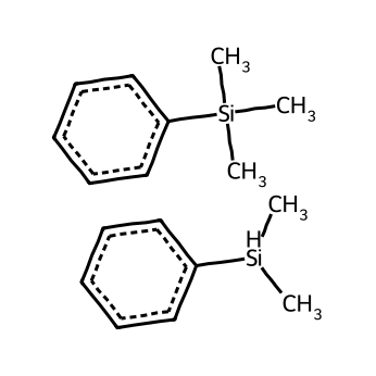 C[SiH](C)c1ccccc1.C[Si](C)(C)c1ccccc1